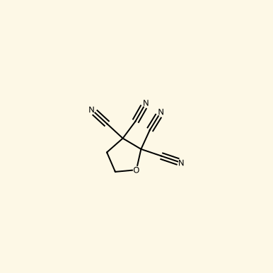 N#CC1(C#N)CCOC1(C#N)C#N